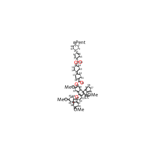 CCCCCC1CCC(c2ccc(C(=O)Oc3ccc(-c4ccc(C(=O)Oc5cc6c7c(c8c(c6cc5OC)OC(c5ccc(OC)cc5)(c5ccc(OC)cc5)C=C8)C(CC)(OC)c5ccccc5-7)cc4)cc3)cc2)CC1